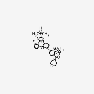 CC(C)(O)c1cn(-c2ccc(C3=CC=C(C(=O)N4CCOCC4)C(Cl)(S(C)(=O)=O)C3)cc2)c(-c2c(F)cccc2Cl)n1